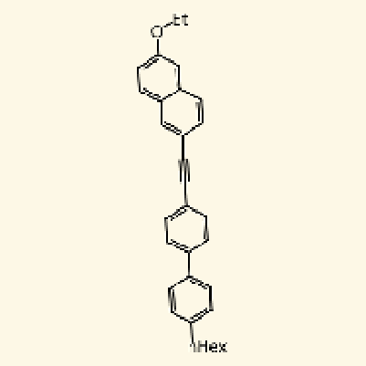 CCCCCCc1ccc(-c2ccc(C#Cc3ccc4cc(OCC)ccc4c3)cc2)cc1